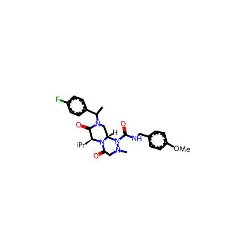 COc1ccc(CNC(=O)N2[C@H]3CN(C(C)c4ccc(F)cc4)C(=O)[C@H](C(C)C)N3C(=O)CN2C)cc1